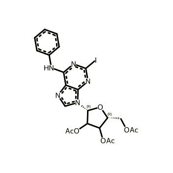 CC(=O)OC[C@H]1O[C@@H](n2cnc3c(Nc4ccccc4)nc(I)nc32)C(OC(C)=O)C1OC(C)=O